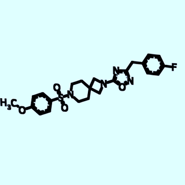 COc1ccc(S(=O)(=O)N2CCC3(CC2)CN(c2nc(Cc4ccc(F)cc4)no2)C3)cc1